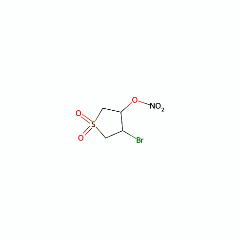 O=[N+]([O-])OC1CS(=O)(=O)CC1Br